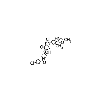 Cc1cc(-n2c(Cl)cc3c(=O)n(CC4(O)CCN(C(=O)c5ccc(Cl)cc5)CC4)cnc32)ccc1C1CO[C@H](C)CN1